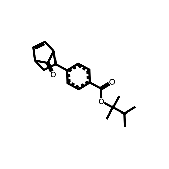 CC(C)C(C)(C)OC(=O)c1ccc(C2CC3C=CC2C3=O)cc1